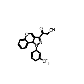 N#CCC(=O)C1=NN(C2C=CCC(C(F)(F)F)=C2)C2C1=COc1ccccc12